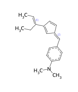 C/C=C(\CC)C1=C/C(=C\c2ccc(N(C)C)cc2)C=C1